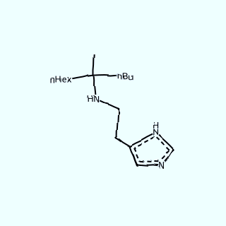 CCCCCCC(C)(CCCC)NCCc1cnc[nH]1